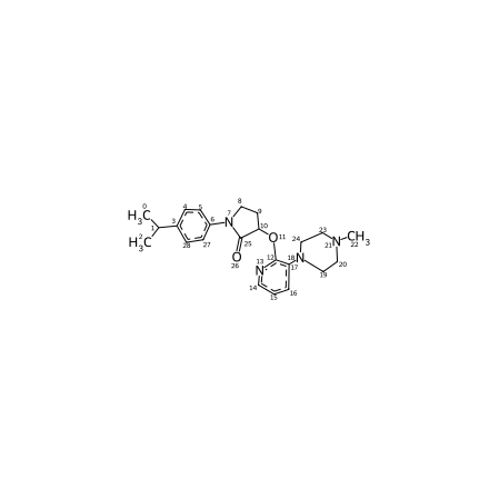 CC(C)c1ccc(N2CCC(Oc3ncccc3N3CCN(C)CC3)C2=O)cc1